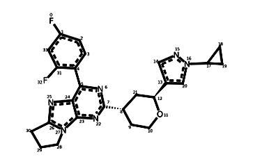 Fc1ccc(-c2nc([C@H]3CCO[C@H](c4cnn(C5CC5)c4)C3)nc3c2nc2n3CCC2)c(F)c1